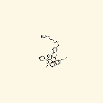 CCCn1ccnc1C(C)N(Cc1ccc(CN(C)CCCCN)cc1)C(c1nccn1CCC)S(=O)(=O)c1ccc(C)cc1